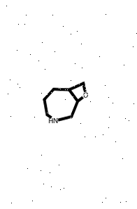 C1CNCC2OCC2C1